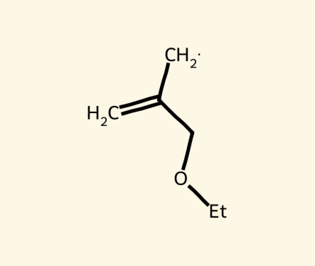 [CH2]C(=C)COCC